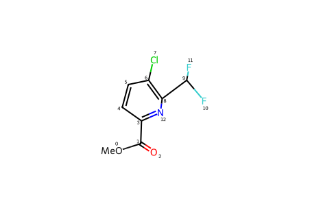 COC(=O)c1ccc(Cl)c(C(F)F)n1